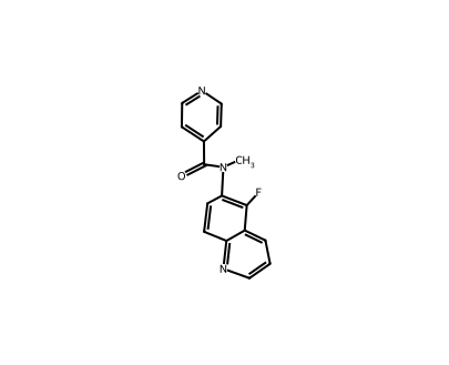 CN(C(=O)c1ccncc1)c1ccc2ncccc2c1F